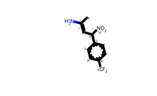 C/C(N)=C\C(c1ccc(C(F)(F)F)cc1)[N+](=O)[O-]